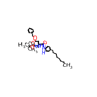 CCCCCCCCc1ccc(NC(=O)C(CCOCc2ccccc2)NC(=O)OC(C)(C)C)cc1